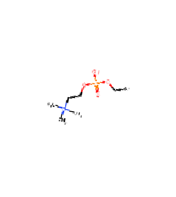 C[N+](C)(C)CCOP(=O)(O)O[CH2][Rf]